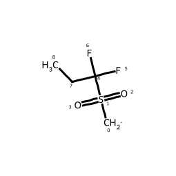 [CH2]S(=O)(=O)C(F)(F)CC